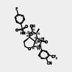 C[C@]12O[C@@]3(CCO[C@H]4[C@@H]3[C@@H]1C(=O)N4c1ccc(C#N)c(C(F)(F)F)c1)[C@H](NS(=O)(=O)c1ccc(F)cc1)[C@H]2O